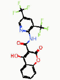 O=C(Nc1ncc(C(F)(F)F)cc1C(F)(F)F)c1c(O)c2ccccc2oc1=O